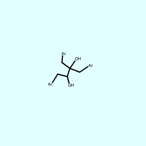 CC(=O)CC(O)C(O)(CC(C)=O)CC(C)=O